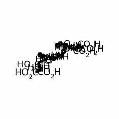 O=C(O)CCC(NC(=O)NC(CCCCNC(=O)C(Cc1ccc2ccccc2c1)NC(=O)C1CCC(CNNNCC2CCC(C(=O)NC(Cc3ccc4ccccc4c3)C(=O)NCCCCC(NC(O)NC(CCC(=O)O)C(=O)O)C(=O)O)CC2)CC1)C(=O)O)C(=O)O